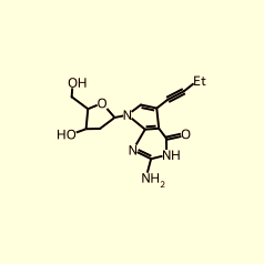 CCC#Cc1cn(C2CC(O)C(CO)O2)c2nc(N)[nH]c(=O)c12